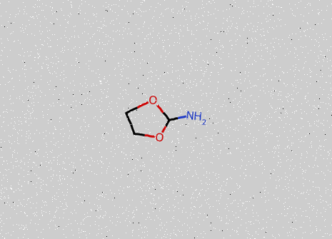 NC1OCCO1